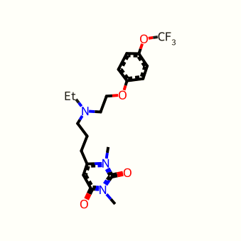 CCN(CCCc1cc(=O)n(C)c(=O)n1C)CCOc1ccc(OC(F)(F)F)cc1